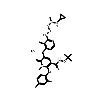 Cc1ccc(Nc2c(C(=O)NOC(C)(C)C)cc(Cc3ccnc(NOSN(C)NC4CC4)c3F)c(=O)n2C)c(F)c1.S